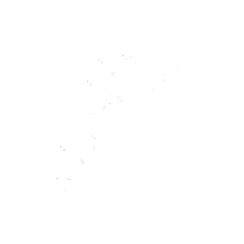 N#C/C(=C\C1CC1)C(=O)N1CC[C@@H](n2nc(-c3ccc(Cl)cc3)c3c(N)ncnc32)C1